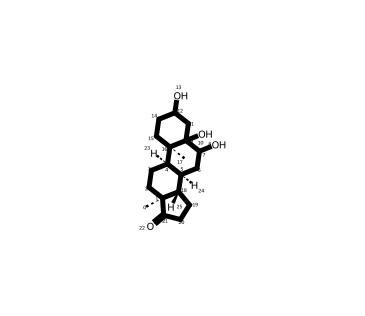 C[C@]12CC[C@@H]3[C@@H](CC(O)C4(O)CC(O)CC[C@]34C)[C@@H]1CCC2=O